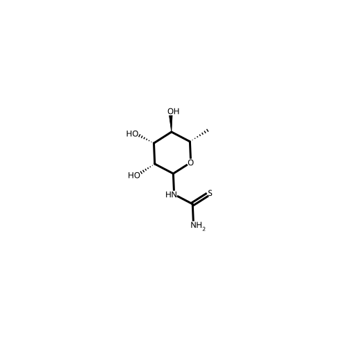 C[C@@H]1OC(NC(N)=S)[C@H](O)[C@H](O)[C@H]1O